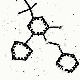 CC(C)(C)c1cc(Br)c(OCc2ccccc2)c(-c2ccccc2)c1